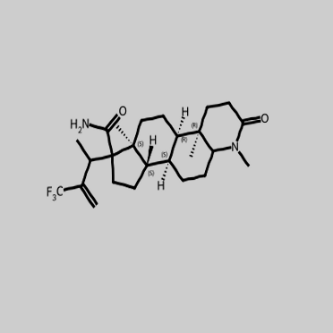 C=C(C(C)C1(C(N)=O)CC[C@H]2[C@@H]3CCC4N(C)C(=O)CC[C@]4(C)[C@@H]3CC[C@@]21C)C(F)(F)F